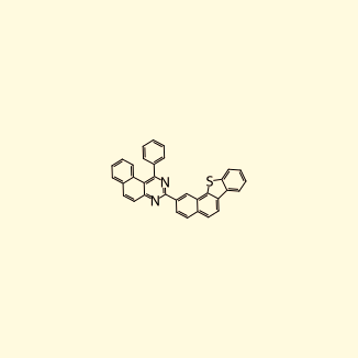 c1ccc(-c2nc(-c3ccc4ccc5c6ccccc6sc5c4c3)nc3ccc4ccccc4c23)cc1